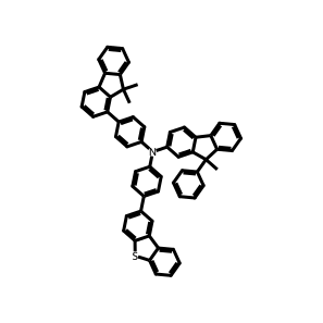 CC1(C)c2ccccc2-c2cccc(-c3ccc(N(c4ccc(-c5ccc6sc7ccccc7c6c5)cc4)c4ccc5c(c4)C(C)(c4ccccc4)c4ccccc4-5)cc3)c21